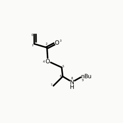 C=CC(=O)OCC(C)NCCCC